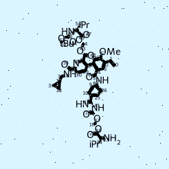 C=Cc1cc(C(=O)Nc2ccc(C(=N)NC(=O)OCOC(=O)[C@@H](N)C(C)C)cc2)c(-c2ccc(C(=O)NCC3CC3)nc2C(=O)OCOC(=O)[C@@H](NC(=O)OC(C)(C)C)C(C)C)cc1OC